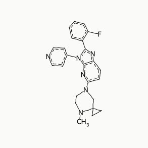 CN1CCN(c2ccc3nc(-c4ccccc4F)n(-c4ccncc4)c3n2)CC12CC2